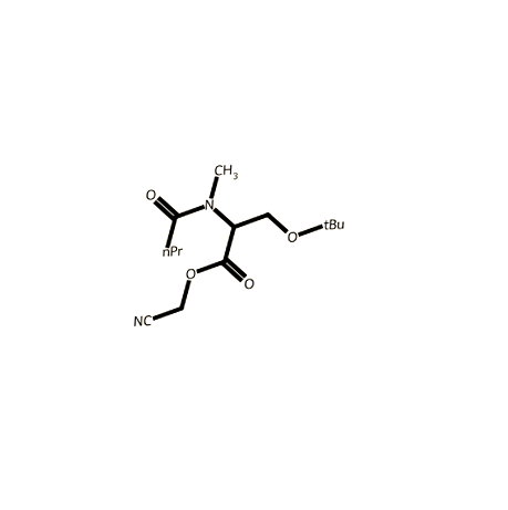 CCCC(=O)N(C)C(COC(C)(C)C)C(=O)OCC#N